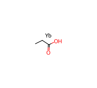 CCC(=O)O.[Yb]